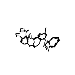 C=C(CC)c1cc(CC2CCc3c(cc(C)cc3-n3nnc4ccccc43)C2O)ccc1F